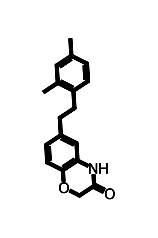 Cc1ccc(CCc2ccc3c(c2)NC(=O)CO3)c(C)c1